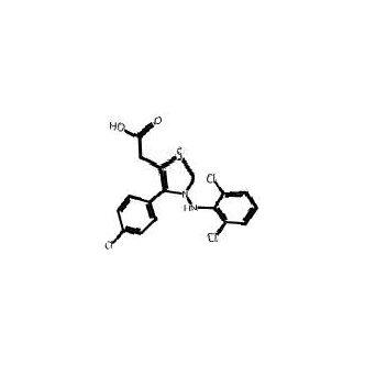 O=C(O)CC1=C(c2ccc(Cl)cc2)N(Nc2c(Cl)cccc2Cl)CS1